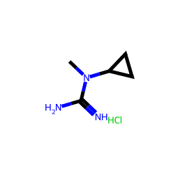 CN(C(=N)N)C1CC1.Cl